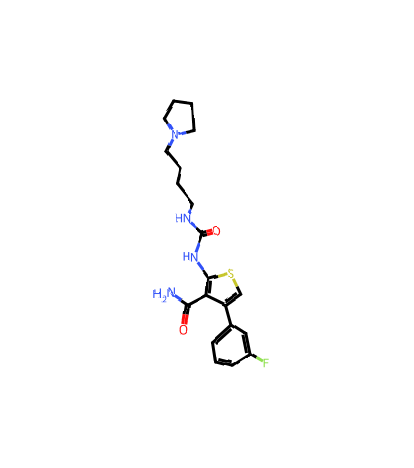 NC(=O)c1c(-c2cccc(F)c2)csc1NC(=O)NCCCCN1CCCC1